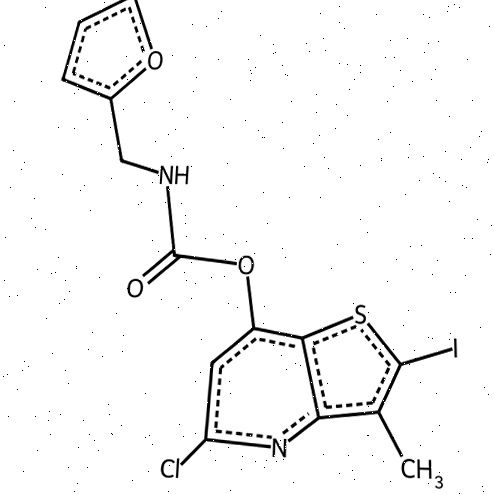 Cc1c(I)sc2c(OC(=O)NCc3ccco3)cc(Cl)nc12